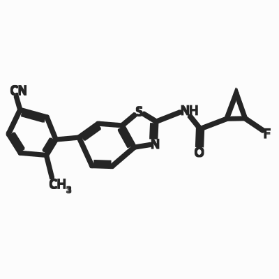 Cc1ccc(C#N)cc1-c1ccc2nc(NC(=O)C3CC3F)sc2c1